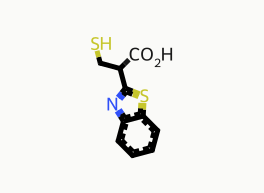 O=C(O)C(CS)c1nc2ccccc2s1